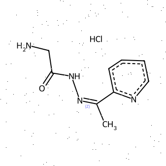 C/C(=N/NC(=O)CN)c1ccccn1.Cl